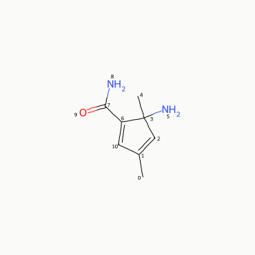 CC1=CC(C)(N)C(C(N)=O)=C1